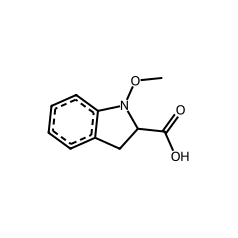 CON1c2ccccc2CC1C(=O)O